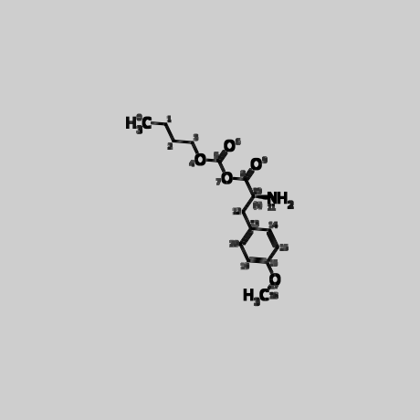 CCCCOC(=O)OC(=O)[C@@H](N)Cc1ccc(OC)cc1